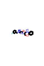 O=C(N[C@H]1COC2=CCCC=C2NC1=O)c1cn(Cc2cccc(F)c2)nn1